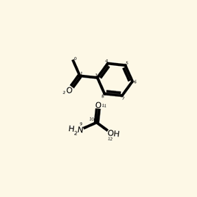 CC(=O)c1ccccc1.NC(=O)O